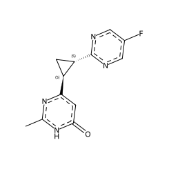 Cc1nc([C@H]2C[C@@H]2c2ncc(F)cn2)cc(=O)[nH]1